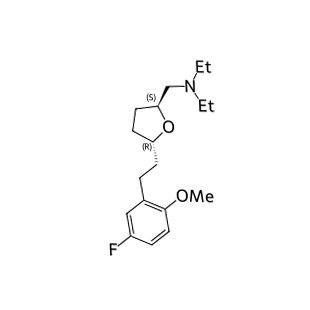 CCN(CC)C[C@@H]1CC[C@@H](CCc2cc(F)ccc2OC)O1